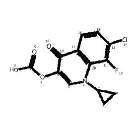 O=C(O)Oc1cn(C2CC2)c2c(F)c(Cl)ccc2c1=O